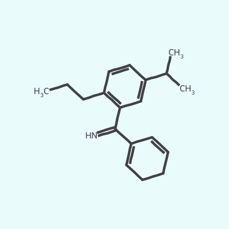 CCCc1ccc(C(C)C)cc1C(=N)C1=CCCC=C1